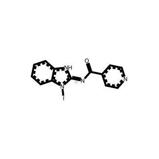 O=C(/N=c1\[nH]c2ccccc2n1I)c1ccncc1